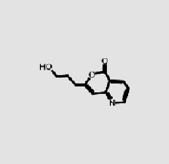 O=c1oc(CCCO)cc2ncccc12